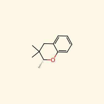 C[C@H]1Oc2ccccc2CC1(C)C